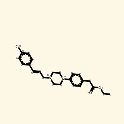 CCOC(=O)Cc1ccc(N2CCN(C/C=C/c3ccc(Cl)cc3)CC2)cc1